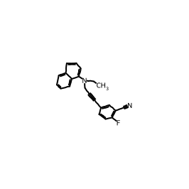 CCN(CC#Cc1ccc(F)c(C#N)c1)c1cccc2ccccc12